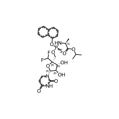 CC(C)OC(=O)[C@H](C)NP(=S)(OC[C@@]1(C(F)F)O[C@@H](n2ccc(=O)[nH]c2=O)[C@H](O)[C@H]1O)Oc1cccc2ccccc12